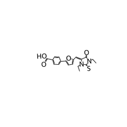 CCN1C(=O)C(=Cc2ccc(-c3ccc(C(=O)O)cc3)o2)N(CC)C1=S